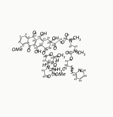 COc1cccc2c1C(=O)c1c(O)c3c(c(O)c1C2=O)C[C@@](O)(C(=O)COC(=O)N(C)CCN(C)C(=O)OCC(C)SSc1ccccn1)C[C@@H]3O[C@H]1C[C@H]2[C@H](O[C@@H]3[C@@H](OC)OCCN32)[C@H](C)O1